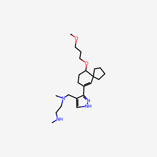 CNCCN(C)Cc1c[nH]nc1C1=CC2(CCCC2)C(OCCCOC)CC1